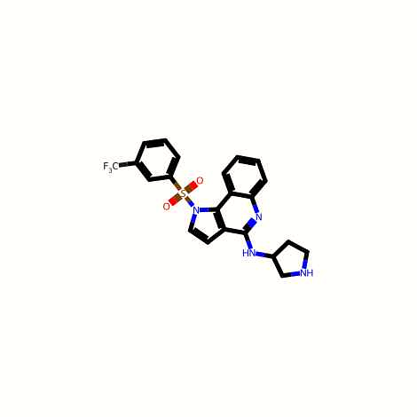 O=S(=O)(c1cccc(C(F)(F)F)c1)n1ccc2c(NC3CCNC3)nc3ccccc3c21